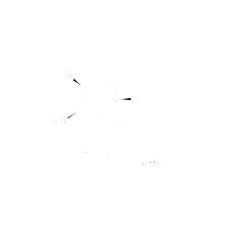 COC[C@@H]1CCC[C@@]2(C1)[C@H]1CC[C@H](C1)[C@@H]2N